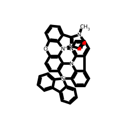 Cn1c2[n+](c3nccnc31)[N+]13c4c(cccc4-2)Oc2ccc4c(c21)-n1c2c(cccc2c2ccc[n+]3c21)[Si]41c2ccccc2-c2ccccc21